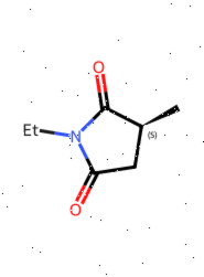 CCN1C(=O)C[C@H](C)C1=O